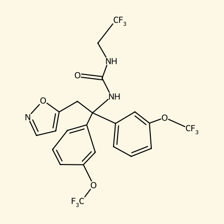 O=C(NCC(F)(F)F)NC(Cc1ccno1)(c1cccc(OC(F)(F)F)c1)c1cccc(OC(F)(F)F)c1